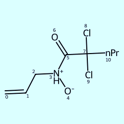 C=CC[NH+]([O-])C(=O)C(Cl)(Cl)CCC